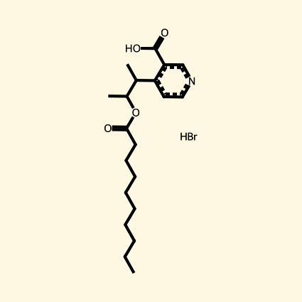 Br.CCCCCCCCCC(=O)OC(C)C(C)c1ccncc1C(=O)O